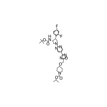 CC(C)OC(=O)N1CCC(OCc2nc(-c3cnc(N4C[C@H](NC(=O)OC(C)(C)C)[C@@H](c5ccc(F)cc5F)C4)nc3)no2)CC1